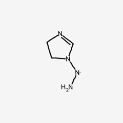 N[N]N1C=NCC1